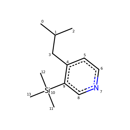 CC(C)Cc1ccncc1[Si](C)(C)C